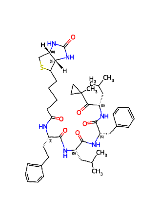 CC(C)C[C@H](NC(=O)[C@H](CCc1ccccc1)NC(=O)CCCCC1SC[C@@H]2NC(=O)N[C@H]12)C(=O)N[C@@H](Cc1ccccc1)C(=O)N[C@@H](CC(C)C)C(=O)C1(C)CC1